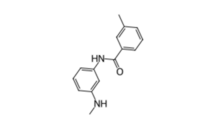 CNc1cccc(NC(=O)c2cccc(C)c2)c1